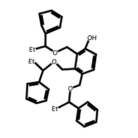 CCC(OCc1ccc(O)c(COC(CC)c2ccccc2)c1COC(CC)c1ccccc1)c1ccccc1